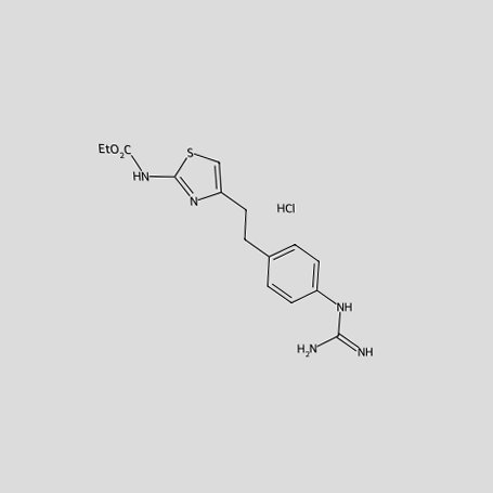 CCOC(=O)Nc1nc(CCc2ccc(NC(=N)N)cc2)cs1.Cl